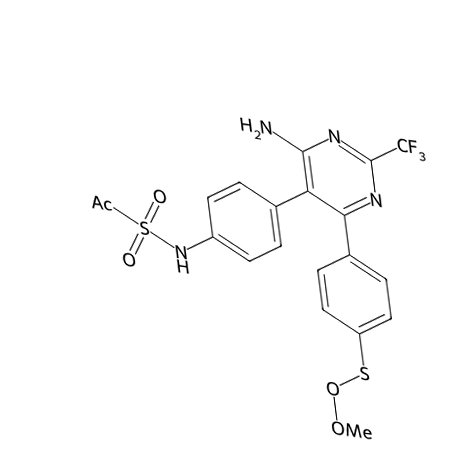 COOSc1ccc(-c2nc(C(F)(F)F)nc(N)c2-c2ccc(NS(=O)(=O)C(C)=O)cc2)cc1